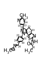 CCC(=O)Nc1nc2c(s1)-c1c(c(-c3ccc(C)nc3)nn1-c1ccc(C=NOC)cc1)CC2